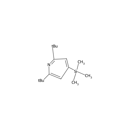 CC(C)(C)c1cc([Si](C)(C)C)cc(C(C)(C)C)n1